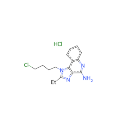 CCc1nc2c(N)nc3ccccc3c2n1CCCCCl.Cl